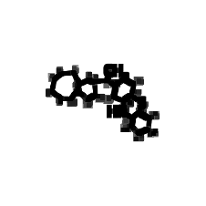 C=C(C1=CC2CCCCCCC2C=C1)c1ccc2c(c1)Nc1ccccc1S2